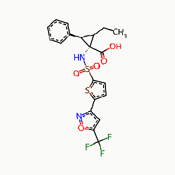 CCC1[C@H](c2ccccc2)[C@]1(NS(=O)(=O)c1ccc(-c2cc(C(F)(F)F)on2)s1)C(=O)O